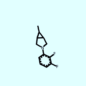 CC1C2CN(c3cccc(F)c3F)CC12